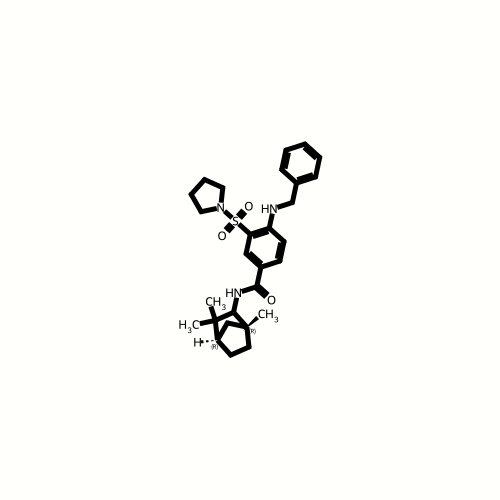 CC1(C)C(NC(=O)c2ccc(NCc3ccccc3)c(S(=O)(=O)N3CCCC3)c2)[C@]2(C)CC[C@@H]1C2